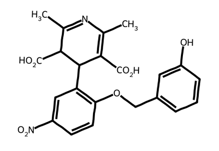 CC1=NC(C)=C(C(=O)O)C(c2cc([N+](=O)[O-])ccc2OCc2cccc(O)c2)C1C(=O)O